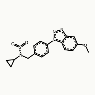 COc1ccc2c(c1)nnn2-c1ccc(CN(C2CC2)[SH](=O)=O)cc1